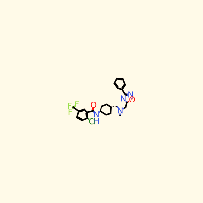 CN(Cc1nc(-c2ccccc2)no1)C[C@H]1CC[C@H](NC(=O)c2cc(C(F)(F)F)ccc2Cl)CC1